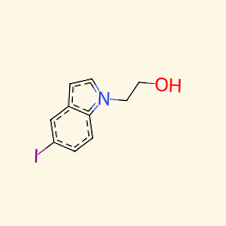 OCCn1ccc2cc(I)ccc21